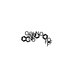 O=C(O)[C@H]1c2ccccc2CCN1S(=O)(=O)c1ccc(Oc2ccc(OC(F)(F)F)cc2)nc1